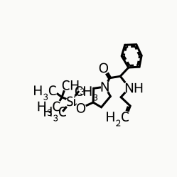 C=CCNC(C(=O)N1CCC(O[Si](C)(C)C(C)(C)C)C1)c1ccccc1